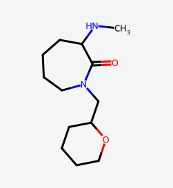 CNC1CCCCN(CC2CCCCO2)C1=O